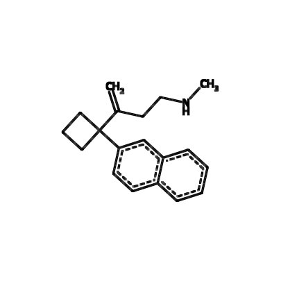 C=C(CCNC)C1(c2ccc3ccccc3c2)CCC1